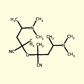 CC(CC(C)(C#N)OC(C)(C#N)CC(C)N(C)C)N(C)C